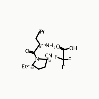 CC[C@H]1CC[C@@H](C#N)N1C(=O)[C@@H](N)CC(C)C.O=C(O)C(F)(F)F